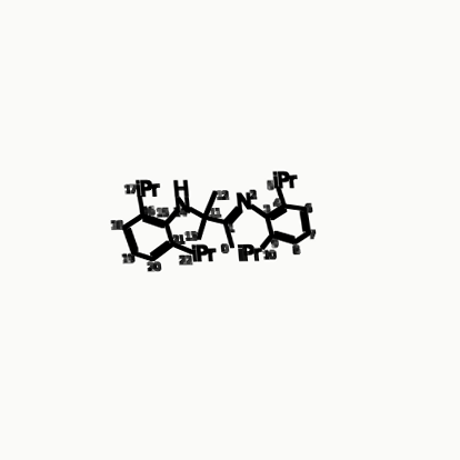 CC(=Nc1c(C(C)C)cccc1C(C)C)C(C)(C)Nc1c(C(C)C)cccc1C(C)C